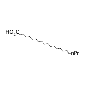 CCCC=CCCCCCCCCCCCCCCCC(=O)O